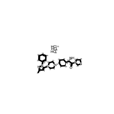 Cc1cc(N2CCN([C@H]3CC[C@H]([C@H](N)C(=O)N4CCSC4)CC3)CC2)n(-c2ccccc2)n1.Cl.Cl.Cl